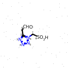 O=[C]Cc1nnnn1CS(=O)(=O)O